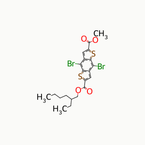 CCCCC(CC)COC(=O)c1cc2c(Br)c3sc(C(=O)OC)cc3c(Br)c2s1